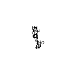 Cc1cnc(Oc2ccc(COc3cc4n(c(=O)n3)CC(C)(C)N4C)cc2C#N)cn1